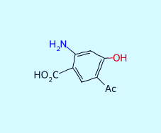 CC(=O)c1cc(C(=O)O)c(N)cc1O